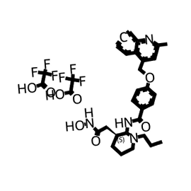 CCCN1CCC[C@@H](CC(=O)NO)C1NC(=O)c1ccc(OCc2cc(C)nc3ccccc23)cc1.O=C(O)C(F)(F)F.O=C(O)C(F)(F)F